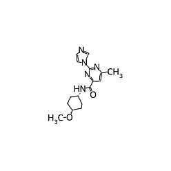 CO[C@H]1CC[C@H](NC(=O)c2cc(C)nc(-n3ccnc3)n2)CC1